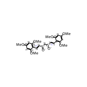 COc1cc(OC)c(/C=C/[S+]([O-])C[S+]([O-])/C=C/c2c(OC)cc(OC)cc2OC)c(OC)c1